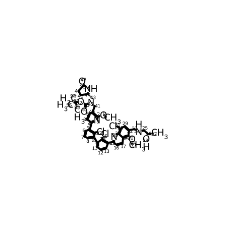 COc1nc(-c2cccc(-c3cccc(-c4ccc5c(OC)c(CNCC(C)O)cc(Cl)c5n4)c3Cl)c2Cl)ccc1CN(C[C@@H]1CCC(=O)N1)C(=O)OC(C)(C)C